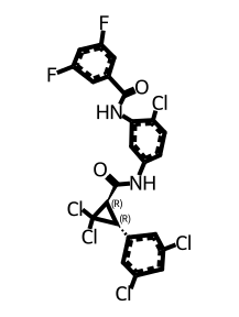 O=C(Nc1cc(NC(=O)[C@H]2[C@H](c3cc(Cl)cc(Cl)c3)C2(Cl)Cl)ccc1Cl)c1cc(F)cc(F)c1